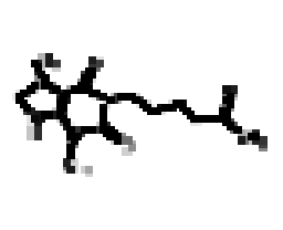 CC(=O)CCCCn1c(=O)c2c(n(C)c1=O)NCN2C